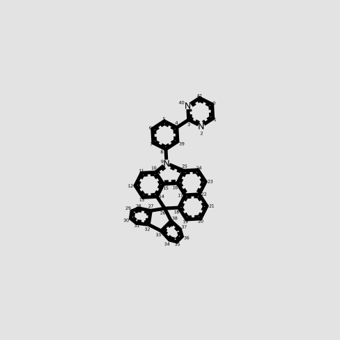 c1cnc(-c2cccc(-n3c4cccc5c4c4c6c(cccc6ccc43)C53c4ccccc4-c4ccccc43)c2)nc1